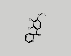 COc1ccc(C(=O)c2ccccn2)c(Cl)c1Cl